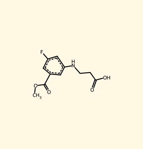 COC(=O)c1cc(F)cc(NCCC(=O)O)c1